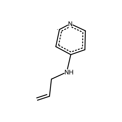 C=CCNc1c[c]ncc1